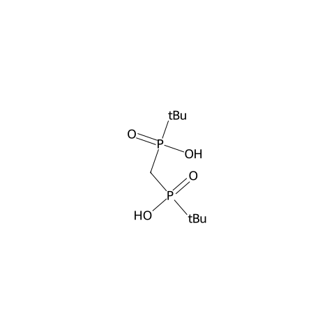 CC(C)(C)P(=O)(O)CP(=O)(O)C(C)(C)C